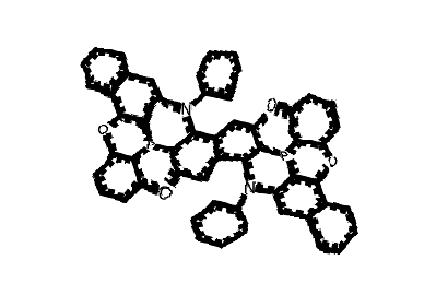 c1ccc(-n2c3cc4ccccc4c4oc5cccc6oc7cc8c(cc9oc%10cccc%11oc%12c%13ccccc%13cc%13c%12p(c%10%11)c9c8n%13-c8ccccc8)c2c7p(c65)c43)cc1